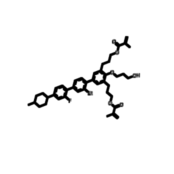 C=C(C)C(=O)OCCCc1cc(-c2ccc(-c3ccc(C4CCC(C)CC4)cc3F)cc2CC)cc(CCCOC(=O)C(=C)C)c1OCCCO